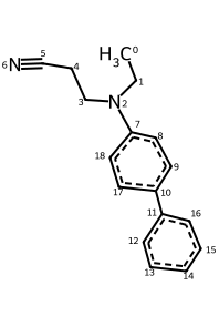 CCN(CCC#N)c1ccc(-c2ccccc2)cc1